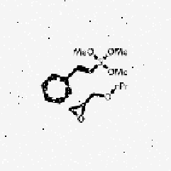 CO[Si](C=Cc1ccccc1)(OC)OC.[CH2]CCOCC1CO1